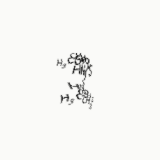 CC(C)(C)OC(=O)NCCCC(NC(=O)OC(C)(C)C)C(O)=S